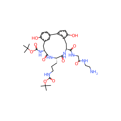 CC(C)(C)OC(=O)NCCC[C@@H]1NC(=O)[C@@H](NC(=O)OC(C)(C)C)Cc2cc(ccc2O)-c2ccc(O)c(c2)C[C@@H](C(=O)NCC(=O)NCCN)NC1=O